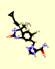 CC(F)(F)[C@@]1(C#CC2CC2)NC(=O)Nc2cc(Cn3ncnc3C(N)=O)c(F)cc21